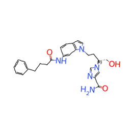 NC(=O)c1cn([C@@H](CO)CCn2ccc3ccc(NC(=O)CCCc4ccccc4)cc32)cn1